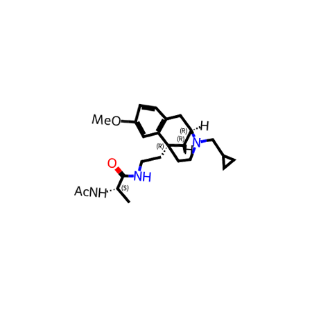 COc1ccc2c(c1)[C@]1(CCNC(=O)[C@H](C)NC(C)=O)CCN(CC3CC3)[C@H](C2)[C@@H]1C